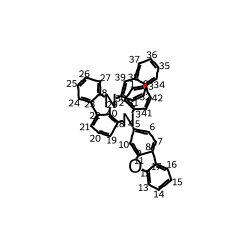 c1ccc(N(c2ccc3c(c2)oc2ccccc23)c2cccc3c4ccccc4n(-c4ccc5ccccc5c4)c23)cc1